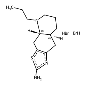 Br.Br.CCCN1CCC[C@H]2Cc3nc(N)sc3C[C@@H]21